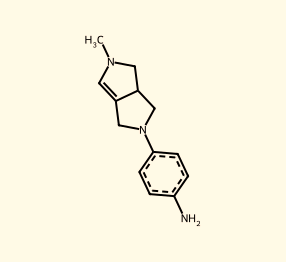 CN1C=C2CN(c3ccc(N)cc3)CC2C1